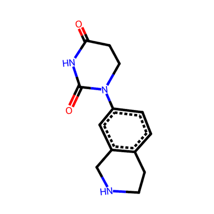 O=C1CCN(c2ccc3c(c2)CNCC3)C(=O)N1